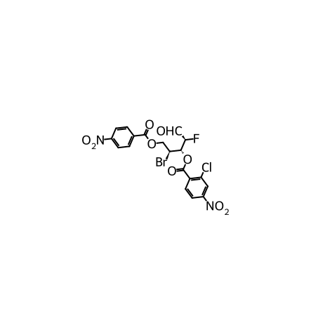 O=C[C@@H](F)[C@H](OC(=O)c1ccc([N+](=O)[O-])cc1Cl)[C@@H](Br)COC(=O)c1ccc([N+](=O)[O-])cc1